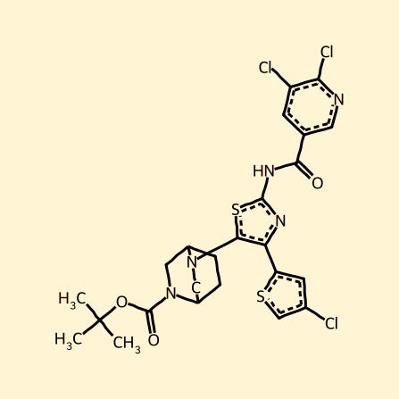 CC(C)(C)OC(=O)N1CC2CCC1CN2c1sc(NC(=O)c2cnc(Cl)c(Cl)c2)nc1-c1cc(Cl)cs1